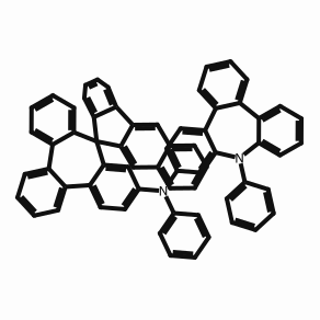 c1ccc(N(c2ccc3c(c2)N(c2ccccc2)c2ccccc2-c2ccccc2-3)c2ccc3c(c2)C2(c4ccccc4-c4ccccc4-3)c3ccccc3-c3cc4ccccc4cc32)cc1